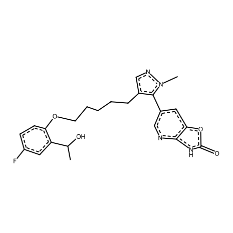 CC(O)c1cc(F)ccc1OCCCCCc1cnn(C)c1-c1cnc2[nH]c(=O)oc2c1